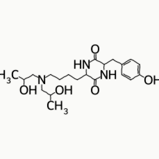 CC(O)CN(CCCCC1NC(=O)C(Cc2ccc(O)cc2)NC1=O)CC(C)O